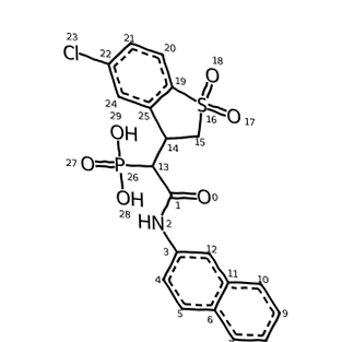 O=C(Nc1ccc2ccccc2c1)C(C1CS(=O)(=O)c2ccc(Cl)cc21)P(=O)(O)O